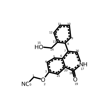 N#CCOc1ccc2c(-c3ccccc3CO)c[nH]c(=O)c2c1